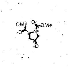 COC(=O)[C@@H]1CC(=O)CN1C(=O)OC